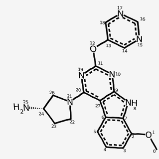 COc1cccc2c1[nH]c1nc(Oc3cncnc3)nc(N3CC[C@H](N)C3)c12